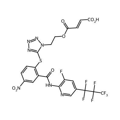 O=C(O)/C=C/C(=O)OCCn1nnnc1Sc1ccc([N+](=O)[O-])cc1C(=O)Nc1ncc(C(F)(F)C(F)(F)C(F)(F)F)cc1F